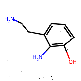 NCCc1cccc(O)c1N